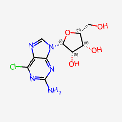 Nc1nc(Cl)c2ncn([C@@H]3O[C@H](CO)[C@H](O)[C@@H]3O)c2n1